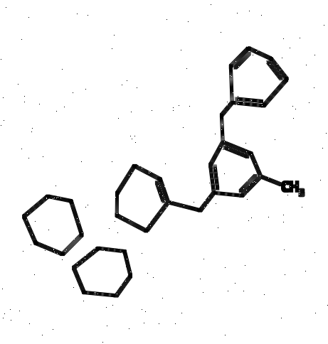 C1CCCCC1.C1CCCCC1.Cc1cc(CC2=CCCCC2)cc(Cc2ccccc2)c1